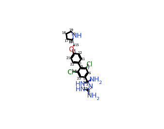 NC1=NC(N)(c2cc(Cl)c(-c3ccc(OC[C@@H]4CCCN4)cc3)c(Cl)c2)NN1